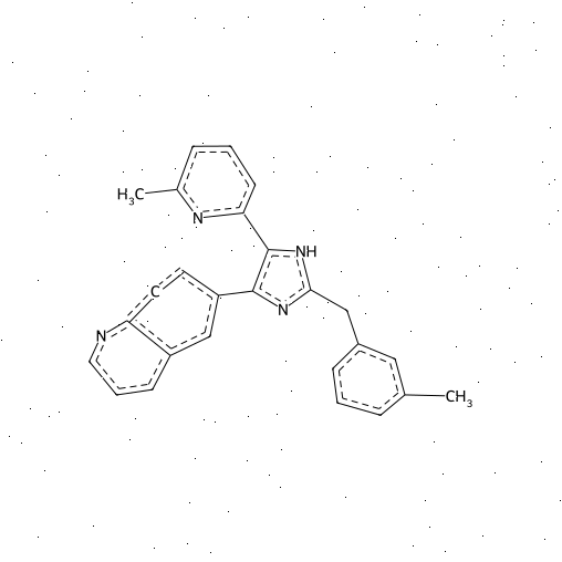 Cc1cccc(Cc2nc(-c3ccc4ncccc4c3)c(-c3cccc(C)n3)[nH]2)c1